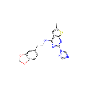 Cc1cc2c(NCCc3ccc4c(c3)OCO4)nc(-n3cncn3)nc2s1